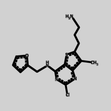 Cc1c(CCCN)sc2c(NCc3ccco3)nc(Cl)nc12